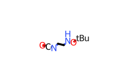 CC(C)(C)ONCCN=C=O